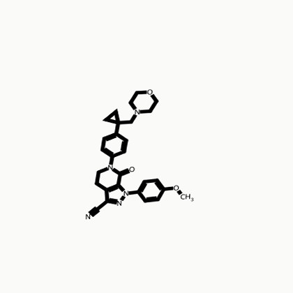 COc1ccc(-n2nc(C#N)c3c2C(=O)N(c2ccc(C4(CN5CCOCC5)CC4)cc2)CC3)cc1